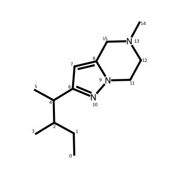 CCC(C)C(C)c1cc2n(n1)CCN(C)C2